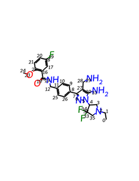 CCN1CC(n2nc(-c3ccc(CNC(=O)c4cc(F)ccc4OC)cc3)c(CN)c2N)C(F)(F)C1